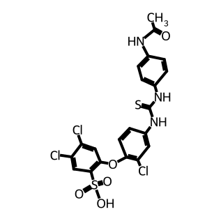 CC(=O)Nc1ccc(NC(=S)Nc2ccc(Oc3cc(Cl)c(Cl)cc3S(=O)(=O)O)c(Cl)c2)cc1